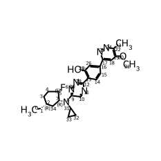 CC[C@@H]1CC[C@H](F)[C@H](N(c2cnc(-c3ccc(-c4cc(OC)c(C)nn4)cc3O)nn2)C2CC2)C1